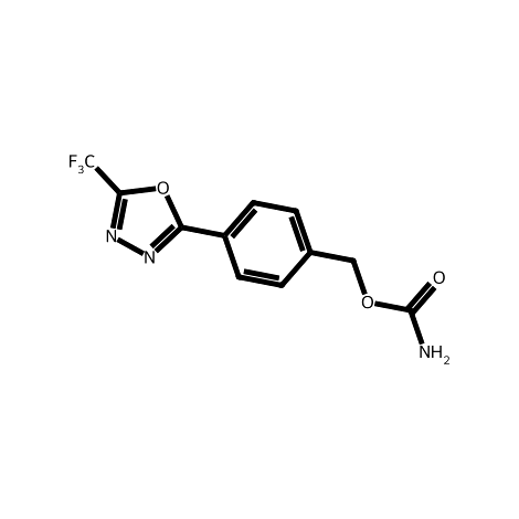 NC(=O)OCc1ccc(-c2nnc(C(F)(F)F)o2)cc1